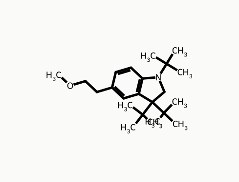 COCCc1ccc2c(c1)C(C(C)(C)C)(C(C)(C)C)CN2C(C)(C)C